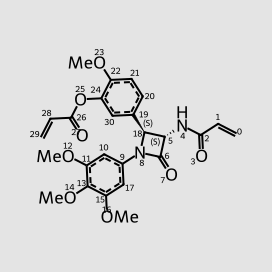 C=CC(=O)N[C@@H]1C(=O)N(c2cc(OC)c(OC)c(OC)c2)[C@H]1c1ccc(OC)c(OC(=O)C=C)c1